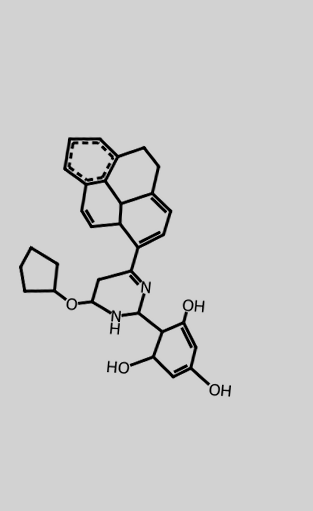 OC1=CC(O)C(C2N=C(C3=CC=C4CCc5cccc6c5C4C3C=C6)CC(OC3CCCC3)N2)C(O)=C1